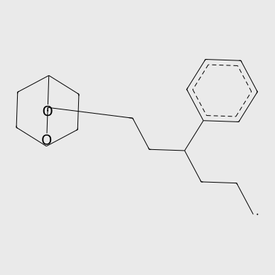 [CH2]CCC(CC[C]1OC2CCC(CC2)O1)c1ccccc1